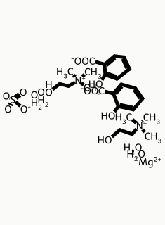 C[N+](C)(C)CCO.C[N+](C)(C)CCO.O.O.O.O.O=C([O-])c1ccccc1O.O=C([O-])c1ccccc1O.O=S(=O)([O-])[O-].[Mg+2]